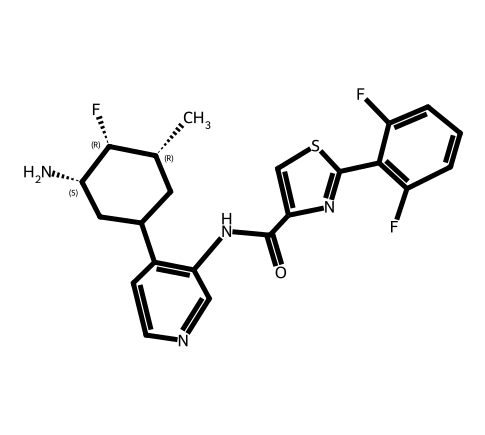 C[C@@H]1CC(c2ccncc2NC(=O)c2csc(-c3c(F)cccc3F)n2)C[C@H](N)[C@@H]1F